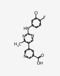 Cc1nc(Nc2ccc(F)c(Cl)c2)ncc1-c1cncc(C(=O)O)c1